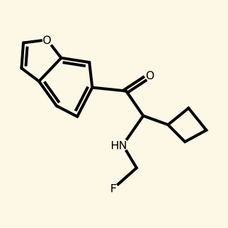 O=C(c1ccc2ccoc2c1)C(NCF)C1CCC1